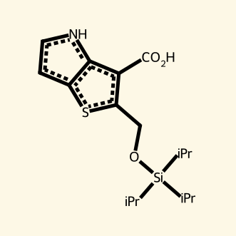 CC(C)[Si](OCc1sc2cc[nH]c2c1C(=O)O)(C(C)C)C(C)C